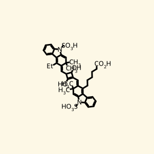 CCC1=c2c(n(S(=O)(=O)O)c3ccccc23)=CC(C)(C)C1=CC1C(O)=C(C=C2C(CCCCCC(=O)O)=c3c(n(S(=O)(=O)O)c4ccccc34)=CC2(C)C)C1O